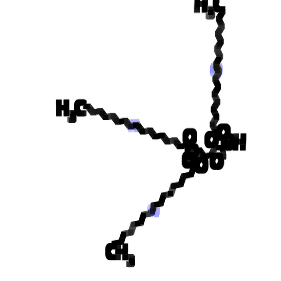 CCCCCCCC/C=C/CCCCCCCC(=O)OCC(OC(=O)CCCCCCC/C=C/CCCCCCCC)C1OCC(O)C1OC(=O)CCCCCCC/C=C/CCCCCCCC